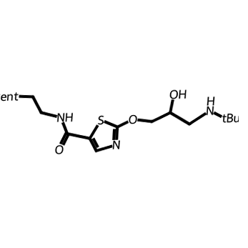 CCCC(C)CCNC(=O)c1cnc(OCC(O)CNC(C)(C)C)s1